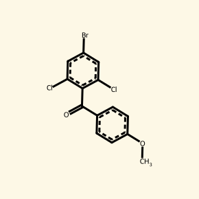 COc1ccc(C(=O)c2c(Cl)cc(Br)cc2Cl)cc1